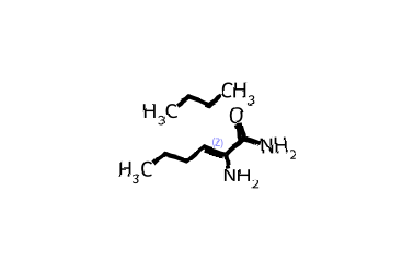 CCC/C=C(\N)C(N)=O.CCCC